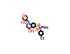 CCc1ccc(N(CC(C)C)S(=O)(=O)c2ccc3c(c2)C(O)CCN3CC2(O)CCOCC2)cc1